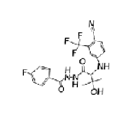 CC(C)(O)C(Nc1ccc(C#N)c(C(F)(F)F)c1)C(=O)NNC(=O)c1ccc(F)cc1